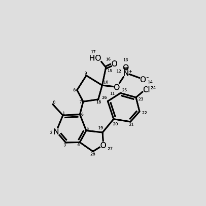 Cc1ncc2c(c1C1CCC(O[N+](=O)[O-])(C(=O)O)C1)C(c1ccc(Cl)cc1)OC2